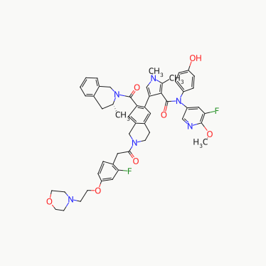 COc1ncc(N(C(=O)c2c(-c3cc4c(cc3C(=O)N3Cc5ccccc5C[C@H]3C)CN(C(=O)Cc3ccc(OCCN5CCOCC5)cc3F)CC4)cn(C)c2C)c2ccc(O)cc2)cc1F